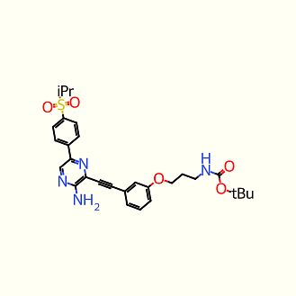 CC(C)S(=O)(=O)c1ccc(-c2cnc(N)c(C#Cc3cccc(OCCCNC(=O)OC(C)(C)C)c3)n2)cc1